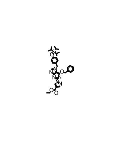 CCOC(=O)c1cnn(-c2nc(OCc3ccccc3)c3c(ncn3Cc3ccc(O[Si](C(C)C)(C(C)C)C(C)C)cc3)n2)c1